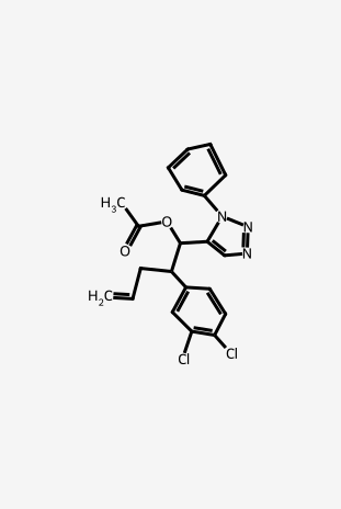 C=CCC(c1ccc(Cl)c(Cl)c1)C(OC(C)=O)c1cnnn1-c1ccccc1